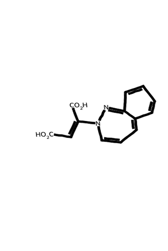 O=C(O)/C=C(\C(=O)O)N1C=CC=c2ccccc2=N1